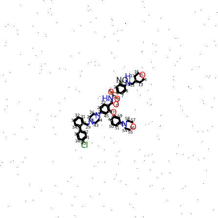 O=C(NS(=O)(=O)c1ccc(NCC2CCOCC2)c([N+](=O)[O-])c1)c1ccc(N2CCN(Cc3ccccc3-c3ccc(Cl)cc3)CC2)cc1Oc1cccc(N2CCOCC2)c1